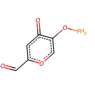 O=Cc1cc(=O)c(OP)co1